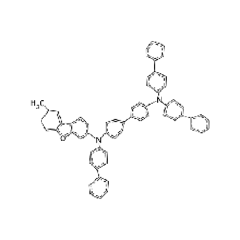 CC1C=c2c(oc3cc(N(c4ccc(-c5ccccc5)cc4)c4ccc(-c5ccc(N(c6ccc(-c7ccccc7)cc6)c6ccc(-c7ccccc7)cc6)cc5)cc4)ccc23)=CC1